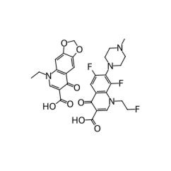 CCn1cc(C(=O)O)c(=O)c2cc3c(cc21)OCO3.CN1CCN(c2c(F)cc3c(=O)c(C(=O)O)cn(CCF)c3c2F)CC1